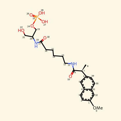 COc1ccc2cc([C@H](C)C(=O)NCCCCCC(=O)NC(CO)COP(=O)(O)O)ccc2c1